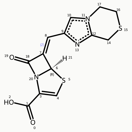 O=C(O)C1=CS[C@@H]2/C(=C\c3cn4c(n3)CSCC4)C(=O)N12